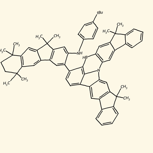 CC(C)(C)c1ccc(Nc2cc3c(cc2-c2ccc4c5cc6c(cc5n5c4c2Bc2cc4c(cc2-5)-c2ccccc2C4(C)C)C(C)(C)c2ccccc2-6)-c2cc4c(cc2C3(C)C)C(C)(C)CCC4(C)C)cc1